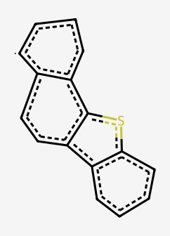 [c]1cccc2c1ccc1c3ccccc3sc21